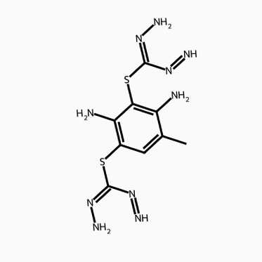 Cc1cc(SC(N=N)=NN)c(N)c(SC(N=N)=NN)c1N